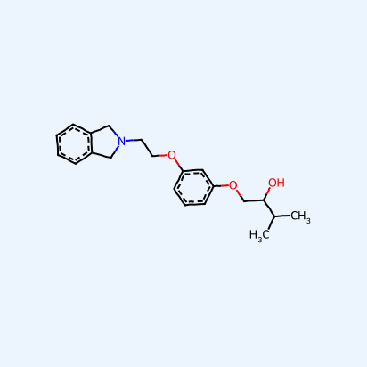 CC(C)C(O)COc1cccc(OCCN2Cc3ccccc3C2)c1